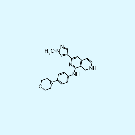 Cn1cc(-c2cc3c(c(Nc4ccc(N5CCOCC5)cc4)n2)CNC=C3)cn1